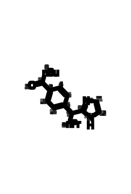 CCCCC(=O)c1ccc(C(CCC)c2ncc[nH]2)cc1